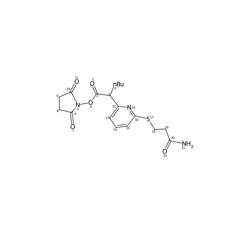 CCCCC(C(=O)ON1C(=O)CCC1=O)c1cccc(SCCC(N)=O)n1